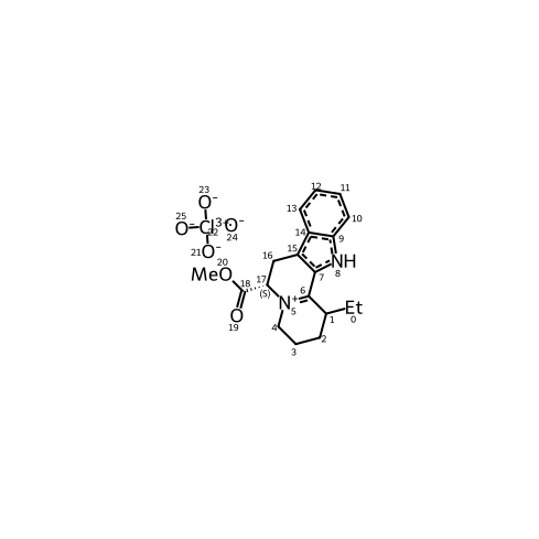 CCC1CCC[N+]2=C1c1[nH]c3ccccc3c1C[C@H]2C(=O)OC.[O-][Cl+3]([O-])([O-])[O-]